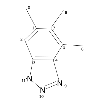 Cc1cc2c(c(C)c1C)N=N[N]2